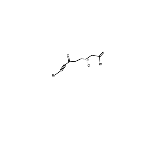 C=C(Br)C[C@H](Cl)CCC(=O)C#CBr